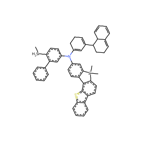 C[SiH2]c1ccc(N(C2=CC(C3CCC=C4C=CC=CC43)=CCC2)c2ccc3c(c2)[Si](C)(C)c2ccc4c(sc5ccccc54)c2-3)cc1-c1ccccc1